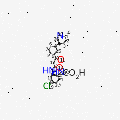 Cc1ccc(-c2cccc(C(=O)CC(=O)Nc3cc(Cl)ccc3NC(=O)O)c2)cn1